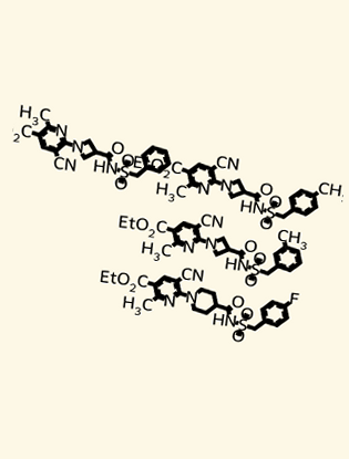 CCOC(=O)c1cc(C#N)c(N2CC(C(=O)NS(=O)(=O)Cc3ccc(C)cc3)C2)nc1C.CCOC(=O)c1cc(C#N)c(N2CC(C(=O)NS(=O)(=O)Cc3cccc(C)c3)C2)nc1C.CCOC(=O)c1cc(C#N)c(N2CCC(C(=O)NS(=O)(=O)Cc3ccc(F)cc3)CC2)nc1C.Cc1nc(N2CC(C(=O)NS(=O)(=O)Cc3ccccc3)C2)c(C#N)cc1C(=O)O